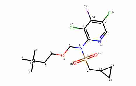 C[Si](C)(C)CCOCN(c1ncc(F)c(I)c1Cl)S(=O)(=O)CC1CC1